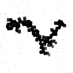 CC(C)[C@H](NCCNC(=O)CCCN1C(=O)C=CC1=O)C(=O)N[C@@H](CCCNC(N)=O)C(=O)Nc1ccc(C(=O)Nc2ccc3[nH]c(C(=O)N4C[C@@H](CCl)c5c4cc(O)c4ccccc54)cc3c2)cc1